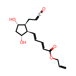 C=CCOC(=O)C=CC=C[C@@H]1[C@H](CC=C=O)[C@@H](O)C[C@H]1O